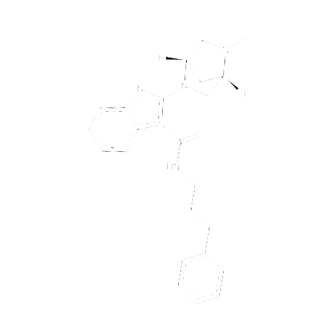 CN1C[C@@H]2C[C@H]1CN2c1nc2ccccc2n1C(=O)NCCCc1ccccc1